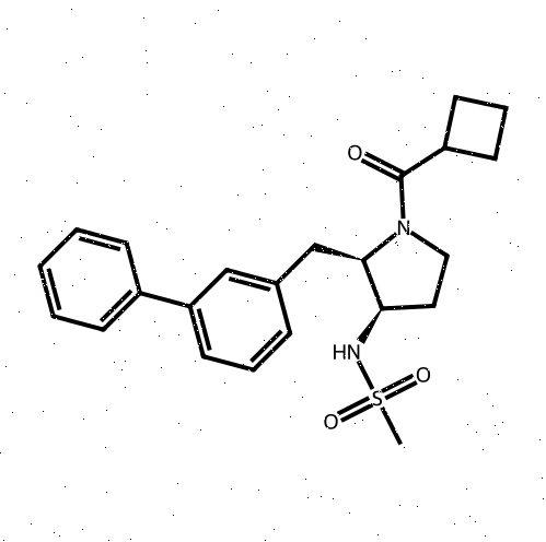 CS(=O)(=O)N[C@@H]1CCN(C(=O)C2CCC2)[C@@H]1Cc1cccc(-c2ccccc2)c1